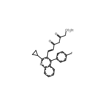 CCOC(=O)CC(=O)CC(=O)C=Cc1c(C2CC2)nc2ccccc2c1-c1ccc(F)cc1